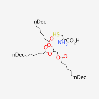 CCCCCCCCCCCCCCCC(=O)OCC(COC(=O)CCCCCCCCCCCCCCC)OC(=O)CCCCCCCCCCCCCCC.N[C@@H](CS)C(=O)O